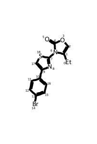 CCc1coc(=O)n1-c1nc(-c2ccc(Br)cc2)cs1